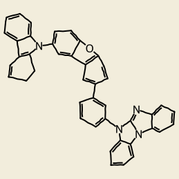 C1=Cc2c(n(-c3ccc4oc5ccc(-c6cccc(-n7c8ccccc8n8c9ccccc9nc78)c6)cc5c4c3)c3ccccc23)CC1